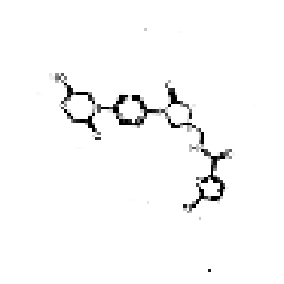 O=C(NC[C@H]1CN(c2ccc(N3CC(O)OCC3=O)cc2)C(=O)O1)c1ccc(Cl)s1